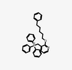 c1ccc(CCCCCOc2ncccc2C[PH](c2ccccc2)(c2ccccc2)c2ccccc2)cc1